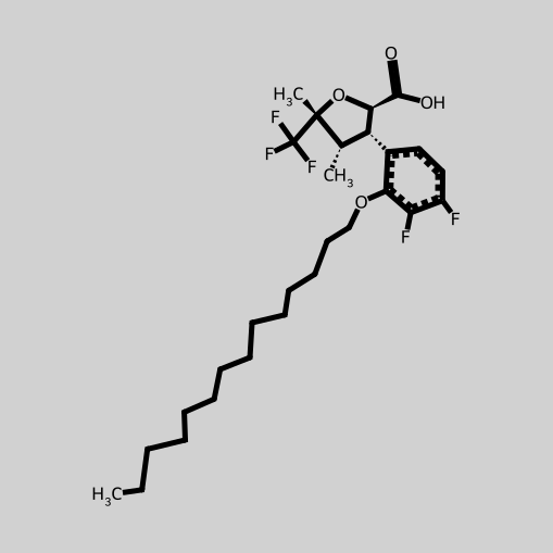 CCCCCCCCCCCCCCOc1c([C@H]2[C@H](C(=O)O)O[C@@](C)(C(F)(F)F)[C@H]2C)ccc(F)c1F